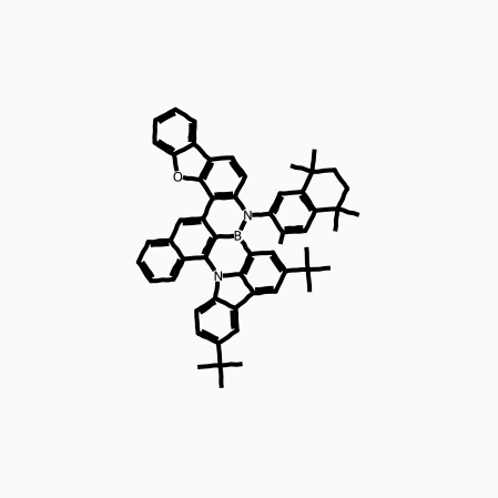 Cc1cc2c(cc1N1B3c4c(cc5ccccc5c4-n4c5ccc(C(C)(C)C)cc5c5cc(C(C)(C)C)cc3c54)-c3c1ccc1c3oc3ccccc31)C(C)(C)CCC2(C)C